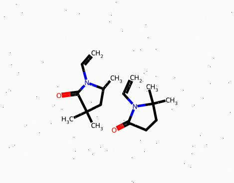 C=CN1C(=O)C(C)(C)CC1C.C=CN1C(=O)CCC1(C)C